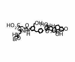 C[C@]12C=CC(=O)C=C1CC[C@@H]1[C@@H]2[C@@H](O)C[C@@]2(C)[C@H]1C[C@H]1O[C@@H](c3ccc(Cc4cc(CO)cc(NC(=O)[C@H](CCC(=O)O)NC(=O)CNC(=O)CBr)c4)cc3)O[C@]12C(=O)CO